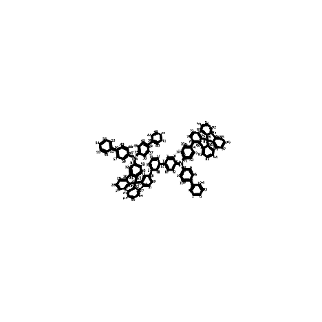 c1ccc(-c2ccc(N(c3ccc(-c4cccc(-c5ccc6c(c5)C5(c7ccccc7-c7cc(N(c8ccc(-c9ccccc9)cc8)c8ccc(-c9ccccc9)cc8)ccc75)c5ccccc5-6)c4)cc3)c3ccc(-c4cccc5c4-c4ccccc4C54c5ccccc5-c5ccccc54)cc3)cc2)cc1